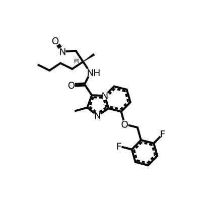 CCCC[C@](C)(CN=O)NC(=O)c1c(C)nc2c(OCc3c(F)cccc3F)cccn12